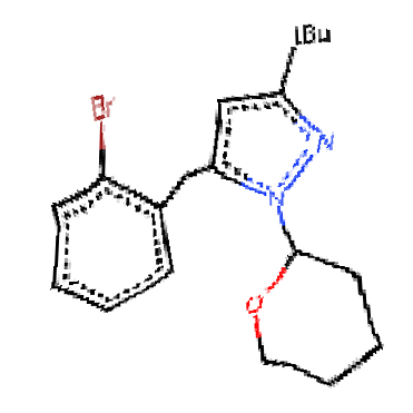 CC(C)(C)c1cc(-c2ccccc2Br)n(C2CCCCO2)n1